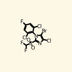 O=S(=O)(c1nc(Cl)c(Br)n1-c1c(Cl)cc(F)cc1Cl)C(F)F